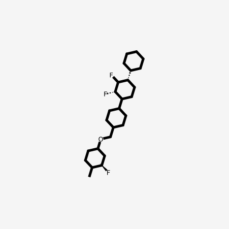 CC1CCC(OCC2CCC(C3CC[C@@H](C4CCCCC4)C(F)[C@H]3F)CC2)C[C@H]1F